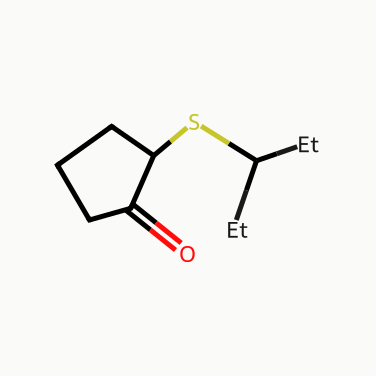 CCC(CC)SC1CCCC1=O